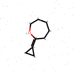 C1CCOC(=C2CC2)CC1